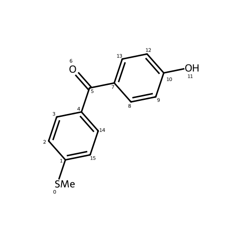 CSc1ccc(C(=O)c2ccc(O)cc2)cc1